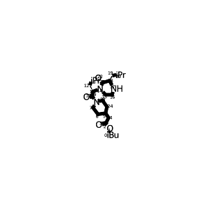 CCC(C)OC(=O)CC1CCN(C(=O)[C@H](CC(C)C)N2CCN[C@@H](CC(C)C)C2=O)CC1